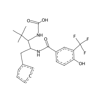 CC(C)(C)C(NC(=O)O)C(Cc1ccccc1)NC(=O)c1ccc(O)c(C(F)(F)F)c1